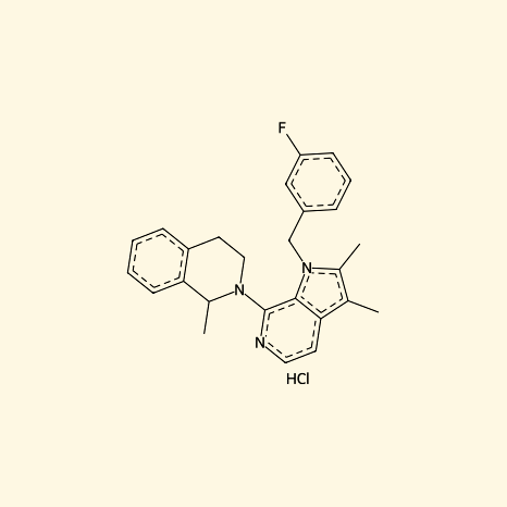 Cc1c(C)n(Cc2cccc(F)c2)c2c(N3CCc4ccccc4C3C)nccc12.Cl